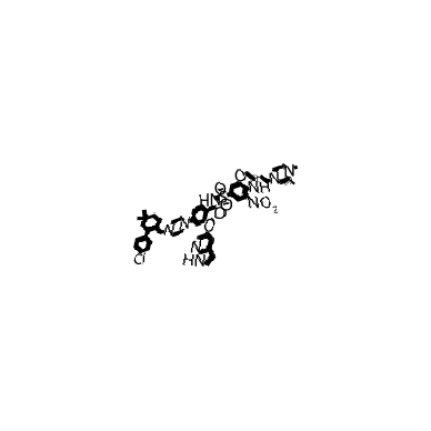 C[C@H]1CN(CC[C@H]2COc3cc(S(=O)(=O)NC(=O)c4ccc(N5CCN(CC6=C(c7ccc(Cl)cc7)CC(C)(C)CC6)CC5)cc4Oc4cnc5[nH]ccc5c4)cc([N+](=O)[O-])c3N2)CCN1C